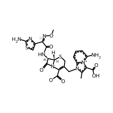 CO/N=C(\C(=O)N[C@@H]1C(=O)N2C(C(=O)[O-])=C(Cn3c(C)c(C(=O)O)[n+]4c(N)cccc34)CS[C@@H]12)c1csc(N)n1